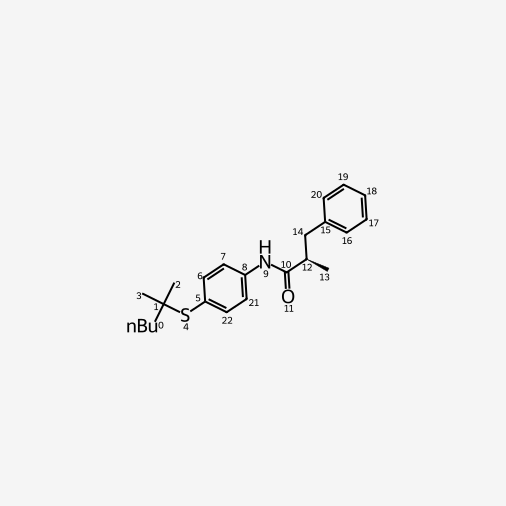 CCCCC(C)(C)Sc1ccc(NC(=O)[C@H](C)Cc2ccccc2)cc1